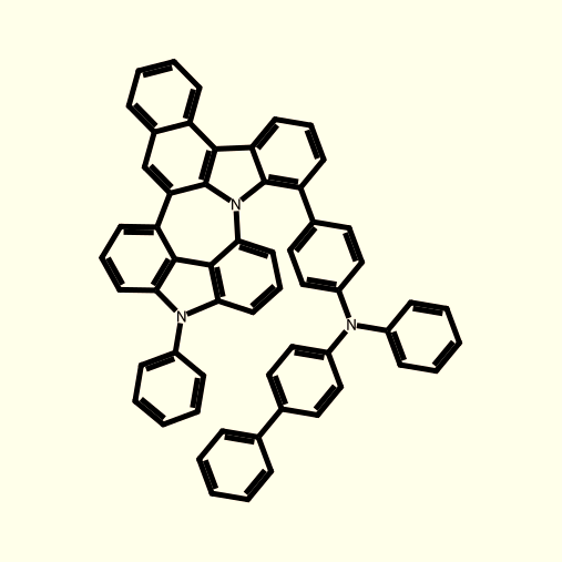 c1ccc(-c2ccc(N(c3ccccc3)c3ccc(-c4cccc5c6c7ccccc7cc7c8cccc9c8c8c(cccc8n(c45)c76)n9-c4ccccc4)cc3)cc2)cc1